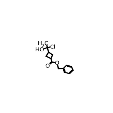 CC(O)(Cl)C1CC(C(=O)OCc2ccccc2)C1